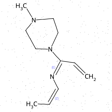 C=C/C(=N\C=C/C)N1CCN(C)CC1